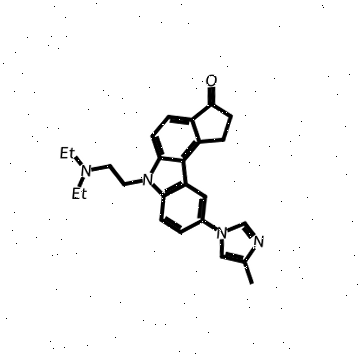 CCN(CC)CCn1c2ccc(-n3cnc(C)c3)cc2c2c3c(ccc21)C(=O)CC3